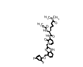 COC(=O)N[C@@H](CC/C=C/C(=O)N(C)C)C(=O)Nc1cccn(Cc2nc3c(COc4ccc(F)cc4F)cccc3[nH]2)c1=O